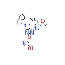 C=CC(=O)N1CCN(c2nc(OC[C@@H]3C[C@@H](O)CN3C)nc3c2CCN(c2cccc4ccccc24)C3)C[C@@H]1CC#N